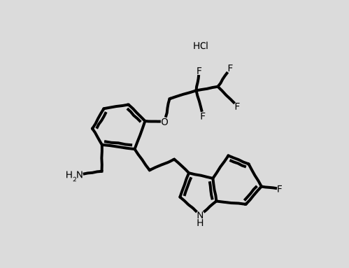 Cl.NCc1cccc(OCC(F)(F)C(F)F)c1CCc1c[nH]c2cc(F)ccc12